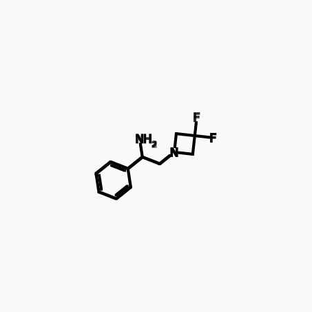 NC(CN1CC(F)(F)C1)c1ccccc1